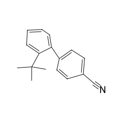 CC(C)(C)c1ccccc1-c1ccc(C#N)cc1